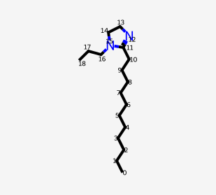 CCCCCCCCCCCC1=NCCN1CCC